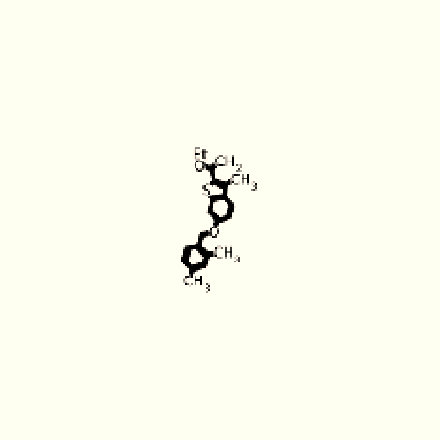 C=C(OCC)c1sc2cc(OCc3ccc(C)cc3C)ccc2c1C